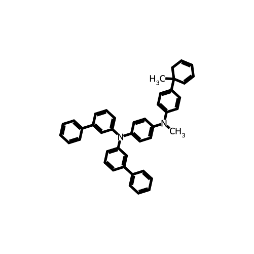 CN(c1ccc(N(c2cccc(-c3ccccc3)c2)c2cccc(-c3ccccc3)c2)cc1)c1ccc(C2(C)C=CC=CC2)cc1